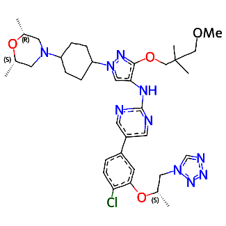 COCC(C)(C)COc1nn(C2CCC(N3C[C@@H](C)O[C@@H](C)C3)CC2)cc1Nc1ncc(-c2ccc(Cl)c(O[C@@H](C)Cn3cnnn3)c2)cn1